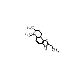 CCc1nc2c3c(ccc2[nH]1)N(C)C(C)CC3